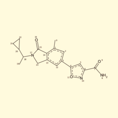 Cc1cc(-c2cc(C(N)=O)no2)cc2c1C(=O)N(C(C)C1CC1)C2